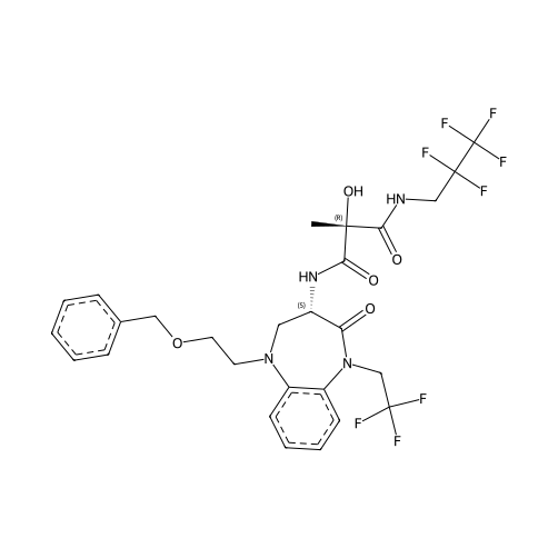 C[C@@](O)(C(=O)NCC(F)(F)C(F)(F)F)C(=O)N[C@H]1CN(CCOCc2ccccc2)c2ccccc2N(CC(F)(F)F)C1=O